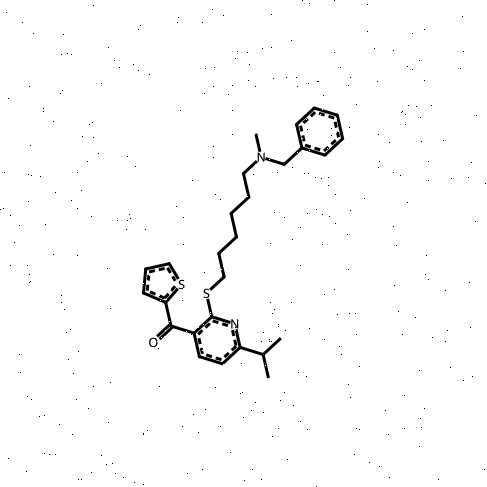 CC(C)c1ccc(C(=O)c2cccs2)c(SCCCCCCN(C)Cc2ccccc2)n1